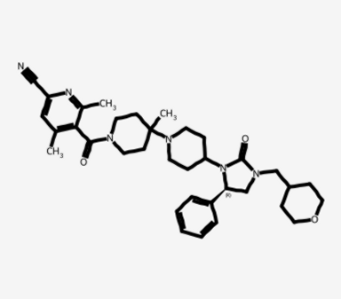 Cc1cc(C#N)nc(C)c1C(=O)N1CCC(C)(N2CCC(N3C(=O)N(CC4CCOCC4)C[C@H]3c3ccccc3)CC2)CC1